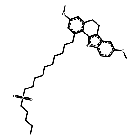 CCCCCS(=O)(=O)CCCCCCCCCCc1cc(OC)cc2c1-c1[nH]c3ccc(OC)cc3c1CC2